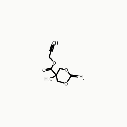 C#CCOC(=O)C1(C)COC(=C)OC1